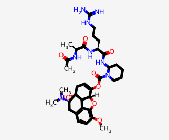 COc1ccc2c3c1O[C@H]1C(OC(=O)N4CCCCC4NC(=O)[C@H](CCCNC(=N)N)NC(=O)[C@H](C)NC(C)=O)=CC[C@](O)(C31)[C@H](N(C)C)C2